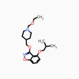 CCOCN1CCC(COc2noc3cccc(OCC(C)C)c23)CC1